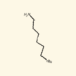 CCCCCCCCC[CH]N